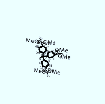 CO[Si](C)(OC)c1ccc(C(C)(c2ccc([Si](C)(OC)OC)cc2)c2ccc([Si](C)(OC)OC)cc2)cc1